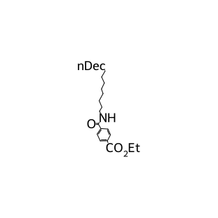 CCCCCCCCCCCCCCCCCCNC(=O)c1ccc(C(=O)OCC)cc1